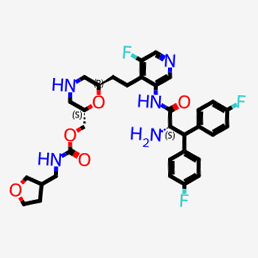 N[C@H](C(=O)Nc1cncc(F)c1CC[C@@H]1CNC[C@@H](COC(=O)NCC2CCOC2)O1)C(c1ccc(F)cc1)c1ccc(F)cc1